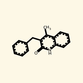 Cc1c(Cc2ccccc2)c(=O)[nH]c2ccccc12